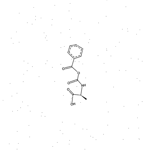 C[C@H](NC(=O)OC(=O)c1ccccc1)C(=O)O